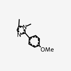 COc1ccc(-c2ncc(C)n2C)cc1